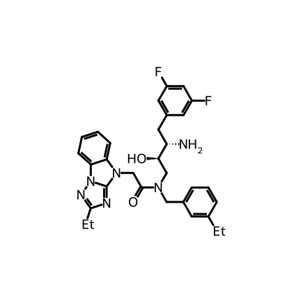 CCc1cccc(CN(C[C@@H](O)[C@@H](N)Cc2cc(F)cc(F)c2)C(=O)Cn2c3ccccc3n3nc(CC)nc23)c1